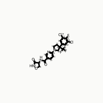 O=C(NC1CONC1=O)c1ccc(N2CCC(c3cc(Cl)c(F)c(Cl)c3)(C(F)(F)F)C2)nc1